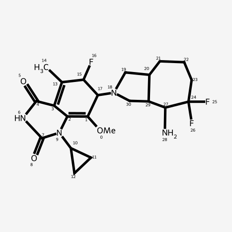 COC1=c2c(c(=O)[nH]c(=O)n2C2CC2)=C(C)C(F)C1N1CC2CCCC(F)(F)C(N)C2C1